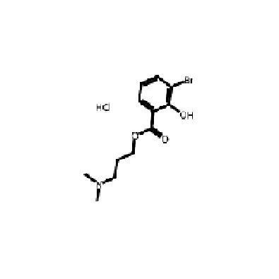 CN(C)CCCOC(=O)c1cccc(Br)c1O.Cl